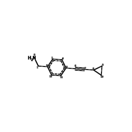 NCc1ccc(C#CC2CC2)cc1